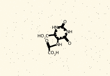 O=C(O)C(=O)Nc1c(C(=O)O)[nH]c(=O)[nH]c1=O